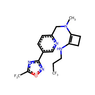 CN(Cc1ccc(-c2noc(C(F)(F)F)n2)cn1)C1=C(NCCC(F)(F)F)CC1